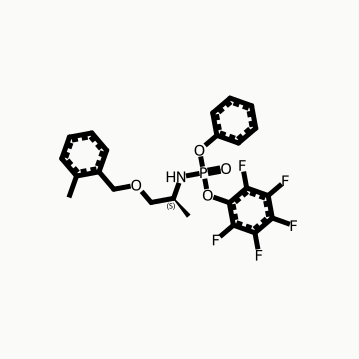 Cc1ccccc1COC[C@H](C)NP(=O)(Oc1ccccc1)Oc1c(F)c(F)c(F)c(F)c1F